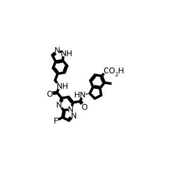 Cc1c(C(=O)O)ccc2c1CC[C@@H]2NC(=O)c1cc(C(=O)NCc2ccc3[nH]ncc3c2)nc2c(F)cnn12